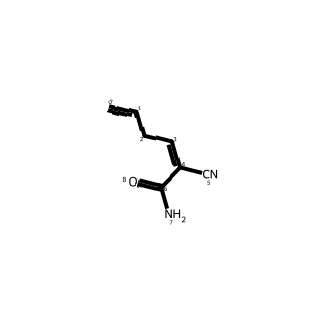 C=CC/C=C(/C#N)C(N)=O